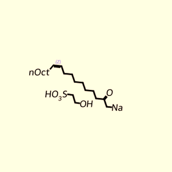 CCCCCCCC/C=C\CCCCCCCC(=O)[CH2][Na].O=S(=O)(O)CCO